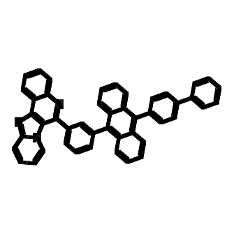 c1ccc(-c2ccc(-c3c4ccccc4c(-c4cccc(-c5nc6ccccc6c6nc7ccccn7c56)c4)c4ccccc34)cc2)cc1